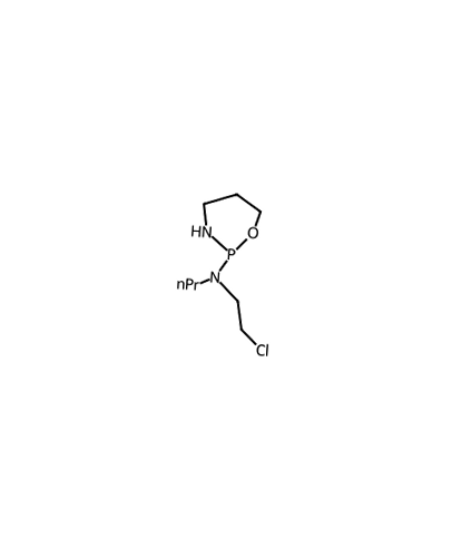 CCCN(CCCl)P1NCCCO1